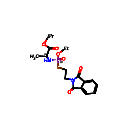 CCO[P@](=O)(N[C@@H](C)C(=O)OC(C)C)SCCN1C(=O)c2ccccc2C1=O